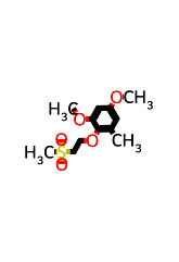 COc1cc(C)c(OCCS(C)(=O)=O)c(OC)c1